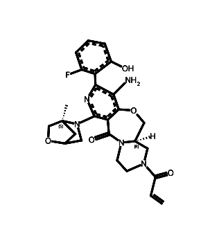 C=CC(=O)N1CCN2C(=O)c3c(N4CC5C[C@@]4(C)CO5)nc(-c4c(O)cccc4F)c(N)c3OC[C@H]2C1